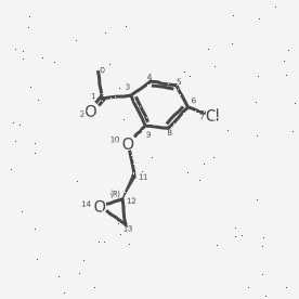 CC(=O)c1ccc(Cl)cc1OC[C@H]1CO1